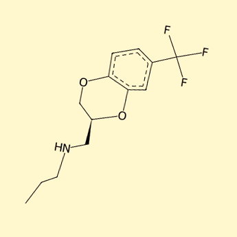 CCCNC[C@H]1COc2ccc(C(F)(F)F)cc2O1